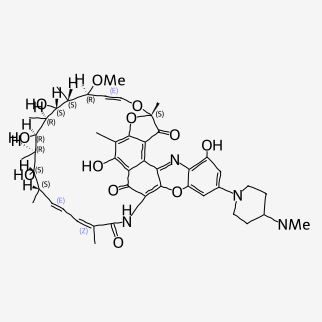 CNC1CCN(c2cc(O)c3nc4c5c6c7c(C)c(O)c5c(=O)c(c-4oc3c2)NC(=O)/C(C)=C\C=C\[C@H](C)[C@H](O)[C@@H](C)[C@@H](O)[C@@H](C)[C@H](O)[C@H](C)[C@@H](OC)/C=C/O[C@@](C)(O7)C6=O)CC1